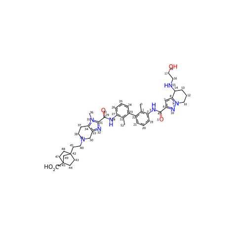 Cc1c(NC(=O)c2cc3n(n2)CCCC3NCCO)cccc1-c1cccc(NC(=O)c2nc3c(n2C)CCN(CCC24CCC(C(=O)O)(CC2)C4)C3)c1C